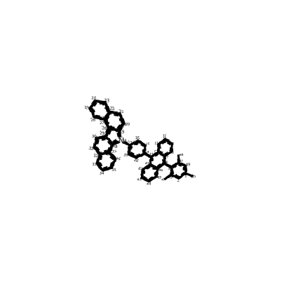 Cc1cc(C)c(-c2c3ccccc3c(-c3ccc(-n4c5ccc6ccccc6c5c5ccc6ccccc6c54)cc3)c3ccccc23)c(C)c1